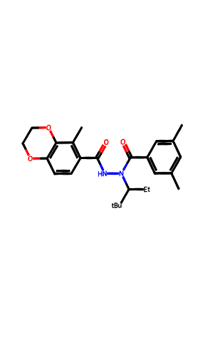 CCC(N(NC(=O)c1ccc2c(c1C)OCCO2)C(=O)c1cc(C)cc(C)c1)C(C)(C)C